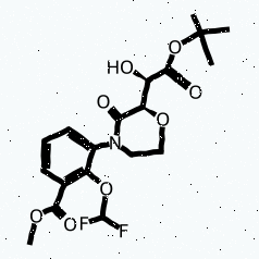 COC(=O)c1cccc(N2CCO[C@H]([C@@H](O)C(=O)OC(C)(C)C)C2=O)c1OC(F)F